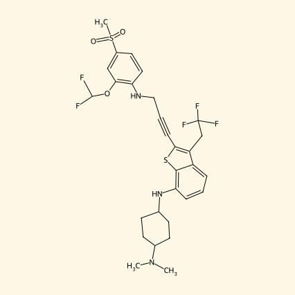 CN(C)C1CCC(Nc2cccc3c(CC(F)(F)F)c(C#CCNc4ccc(S(C)(=O)=O)cc4OC(F)F)sc23)CC1